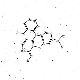 C/C=C\C1=C(C(/C=O)=C/N=O)Oc2cc(N(CC)CC)ccc2C1c1ccccc1CN=O